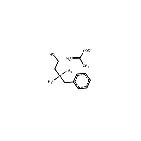 C=C(C)C(=O)[O-].C[N+](C)(CCO)Cc1ccccc1